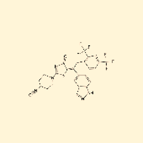 [C-]#[N+]C1CCN(C2=NC(=O)C(=C(Cc3ccc(C(F)(F)F)cc3C(F)(F)F)c3ccc4[nH]ncc4c3)S2)CC1